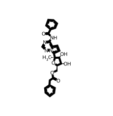 C[C@@]1(c2ccc3c(NC(=O)c4ccccc4)ncnn23)O[C@H](COC(=O)Cc2ccccc2)[C@@H](O)[C@H]1O